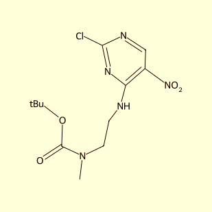 CN(CCNc1nc(Cl)ncc1[N+](=O)[O-])C(=O)OC(C)(C)C